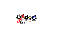 CC(=O)Oc1ccccc1C(=O)Oc1ccc(SC(=O)c2cccnc2)cc1